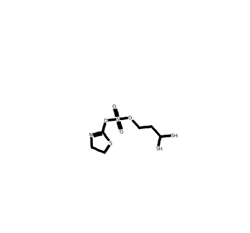 O=S(=O)(OCCC(S)S)OC1=NCCS1